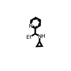 CCC(NC1CC1)c1ccccn1